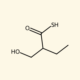 CCC(CO)C(=O)S